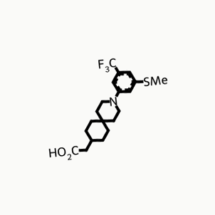 CSc1cc(N2CCC3(CCC(CC(=O)O)CC3)CC2)cc(C(F)(F)F)c1